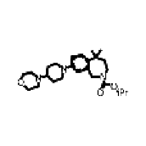 CC(C)OC(=O)N1CCC(C)(C)c2ccc(N3CCC(N4CCOCC4)CC3)cc2C1